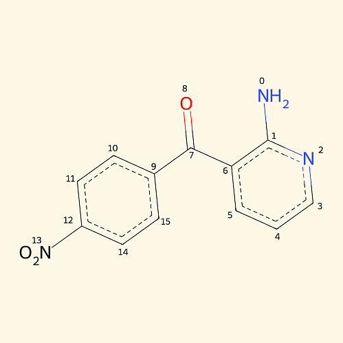 Nc1ncccc1C(=O)c1ccc([N+](=O)[O-])cc1